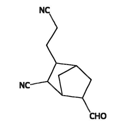 N#CCCC1C2CC(C=O)C(C2)C1C#N